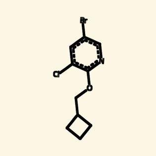 Clc1cc(Br)cnc1OCC1CCC1